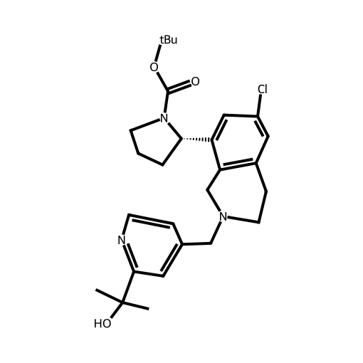 CC(C)(C)OC(=O)N1CCC[C@H]1c1cc(Cl)cc2c1CN(Cc1ccnc(C(C)(C)O)c1)CC2